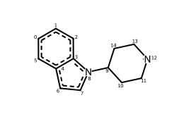 c1ccc2c(c1)ccn2C1CC[N]CC1